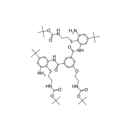 CC(C)(C)OC(=O)NCCOc1cc(C(=O)Nc2cc(C(C)(C)C)cc(N)c2SCCNC(=O)OC(C)(C)C)cc(C(=O)Nc2cc(C(C)(C)C)cc(N)c2SCCNC(=O)OC(C)(C)C)c1